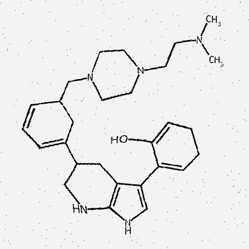 CN(C)CCN1CCN(CC2C=CC=C(C3CNc4[nH]cc(C5=CCCC=C5O)c4C3)C2)CC1